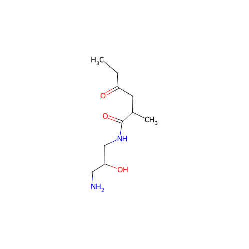 CCC(=O)CC(C)C(=O)NCC(O)CN